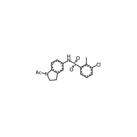 CC(=O)N1CCc2cc(NS(=O)(=O)c3cccc(Cl)c3C)ccc21